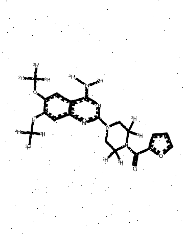 [2H]N([2H])c1nc(N2CC([2H])([2H])N(C(=O)c3ccco3)C([2H])([2H])C2)nc2cc(OC([2H])([2H])[2H])c(OC([2H])([2H])[2H])cc12